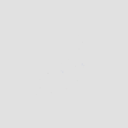 Cl.O=C(O)c1cnc2c(c1)C(=O)N(c1ccc(F)cc1Br)C2